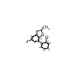 CC1Cc2cc(F)cc(-c3ccccc3Cl)c2O1